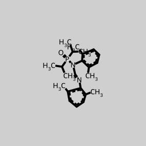 Cc1cccc(C)c1N=CN(c1c(C)cccc1C)P(=O)(C(C)C)C(C)C